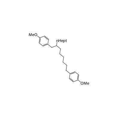 CCCCCCCC(CCCCCCc1ccc(OC)cc1)Cc1ccc(OC)cc1